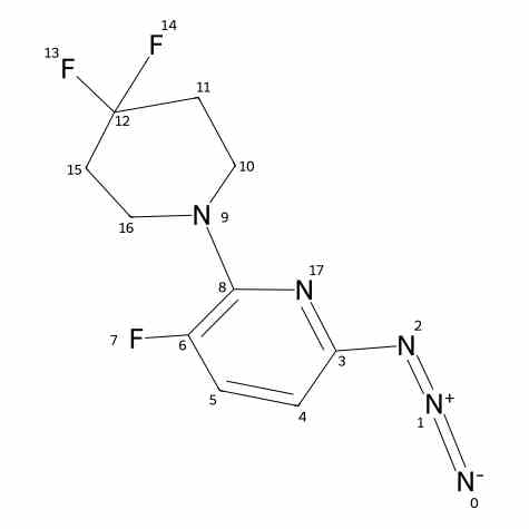 [N-]=[N+]=Nc1ccc(F)c(N2CCC(F)(F)CC2)n1